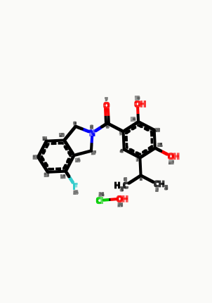 CC(C)c1cc(C(=O)N2Cc3cccc(F)c3C2)c(O)cc1O.OCl